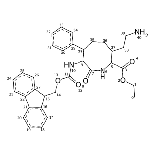 CCOC(=O)C1NC(=O)C(NC(=O)OCC2c3ccccc3-c3ccccc32)C(c2ccccc2)CCC1CCN